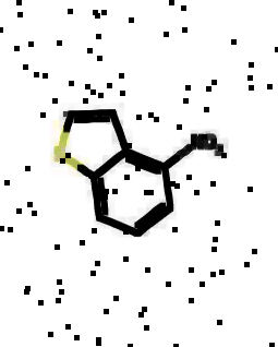 O=[N+]([O-])c1cccc2s[c]cc12